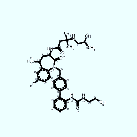 CC(O)CNC(C)(C)CC(=O)NC1CC(C)c2cc(F)ccc2N(Cc2ccc(-c3ccccc3NC(=O)NCCO)cc2)C1=O